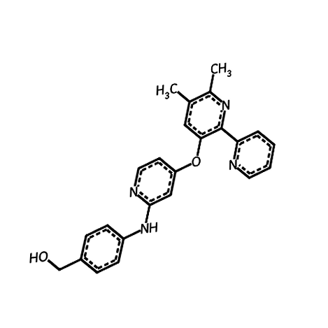 Cc1cc(Oc2ccnc(Nc3ccc(CO)cc3)c2)c(-c2ccccn2)nc1C